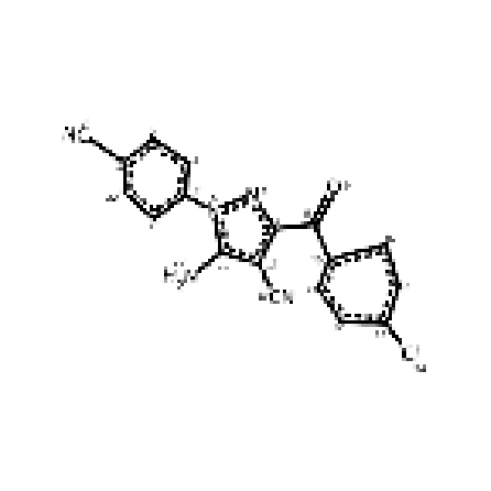 N#Cc1ccc(-n2nc(C(=O)c3ccc(Cl)cc3)c(C#N)c2N)cc1